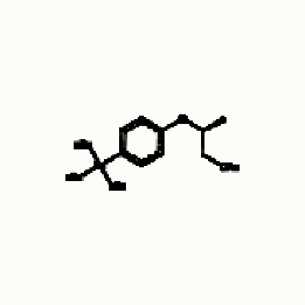 CCC[CH2][Sn]([CH2]CCC)([CH2]CCC)[c]1ccc(O[C@@H](C)COC(C)=O)cc1